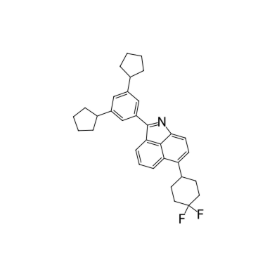 FC1(F)CCC(c2ccc3c4c(cccc24)C(c2cc(C4CCCC4)cc(C4CCCC4)c2)=N3)CC1